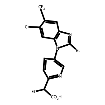 CCc1nc2cc(C(F)(F)F)c(Cl)cc2n1-c1ccc(C(CC)C(=O)O)nc1